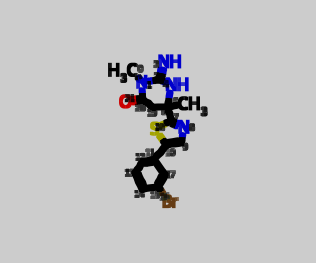 CN1C(=N)NC(C)(c2ncc(-c3cccc(Br)c3)s2)CC1=O